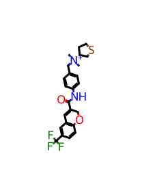 C[N+](C)(Cc1ccc(NC(=O)C2=Cc3cc(C(F)(F)F)ccc3OC2)cc1)C1CCSC1